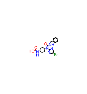 O=C(O)N[C@H]1CC[C@H](N(C(=O)NCc2ccccc2)c2ncc(Br)cn2)CC1